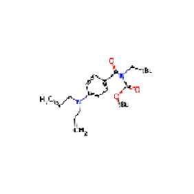 C=CCN(CC=C)c1ccc(C(=O)N(CC(C)(C)C)C(=O)OC(C)(C)C)cc1